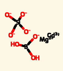 [Gd+3].[Mg+2].[O-]B(O)O.[O-][Si]([O-])([O-])[O-]